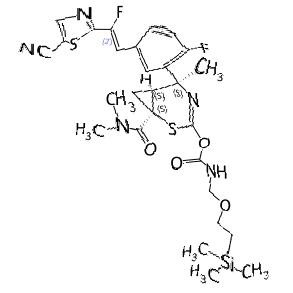 CN(C)C(=O)[C@]12C[C@H]1[C@@](C)(c1cc(/C=C(\F)c3ncc(C#N)s3)ccc1F)N=C(OC(=O)NCOCC[Si](C)(C)C)S2